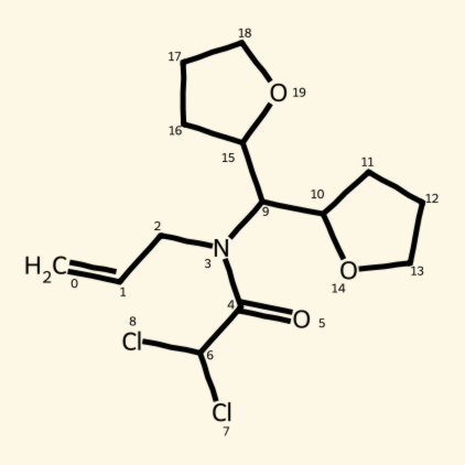 C=CCN(C(=O)C(Cl)Cl)C(C1CCCO1)C1CCCO1